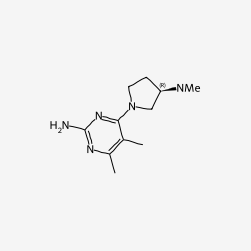 CN[C@@H]1CCN(c2nc(N)nc(C)c2C)C1